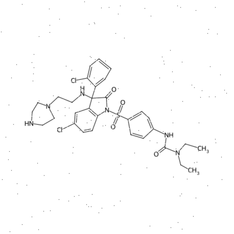 CCN(CC)C(=O)Nc1ccc(S(=O)(=O)N2C(=O)C(NCCN3CCNCC3)(c3ccccc3Cl)c3cc(Cl)ccc32)cc1